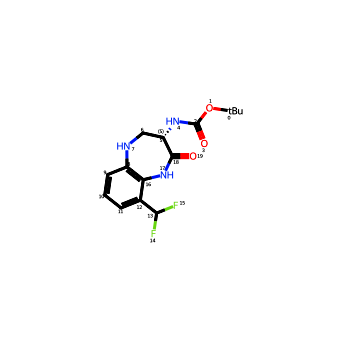 CC(C)(C)OC(=O)N[C@H]1CNc2cccc(C(F)F)c2NC1=O